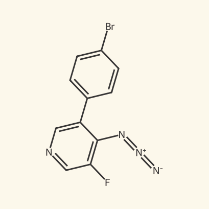 [N-]=[N+]=Nc1c(F)cncc1-c1ccc(Br)cc1